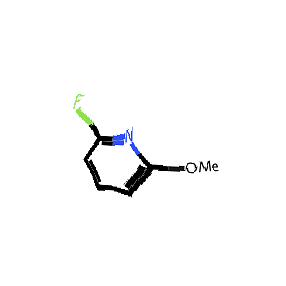 COc1cc[c]c(F)n1